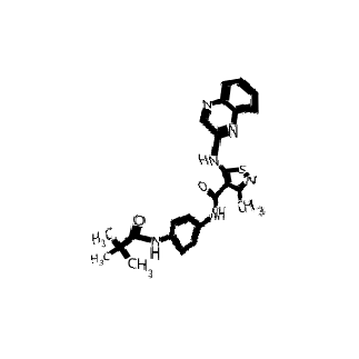 Cc1nsc(Nc2cnc3ccccc3n2)c1C(=O)Nc1ccc(NC(=O)C(C)(C)C)cc1